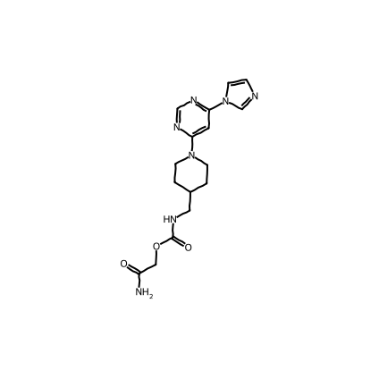 NC(=O)COC(=O)NCC1CCN(c2cc(-n3ccnc3)ncn2)CC1